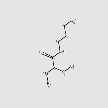 CCOC(OCC)C(=O)NCCCO